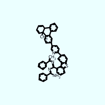 C=C(/N=C(\N=C(/N)c1ccccc1)c1cccc2sc3ccc(-c4ccc(-c5ccc6c(c5)-c5ccccc5C5C=CC=CC65C)cn4)cc3c12)c1ccccc1